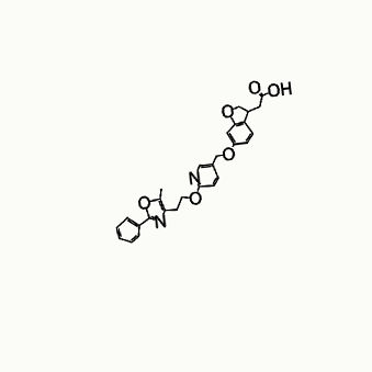 Cc1oc(-c2ccccc2)nc1CCOc1ccc(COc2ccc3c(c2)OCC3CC(=O)O)cn1